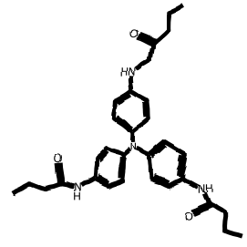 CCCC(=O)CNc1ccc(N(c2ccc(NC(=O)CCC)cc2)c2ccc(NC(=O)CCC)cc2)cc1